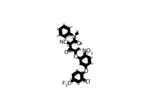 CC(Oc1cc(Oc2ccc(C(F)(F)F)cc2Cl)ccc1[N+](=O)[O-])C(=O)C(C#N)C(=O)N(C)c1ccccc1